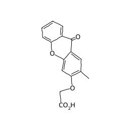 Cc1cc2c(=O)c3ccccc3oc2cc1OCC(=O)O